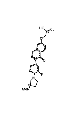 CC[C@H](O)COc1ccc2c(=O)n(-c3ccc(N4CC[C@@H](NC)C4)c(F)c3)ccc2c1